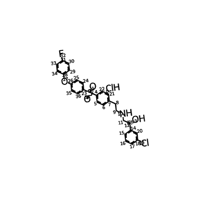 Cl.O=S(=O)(c1ccc(CCNC[C@H](O)c2cccc(Cl)c2)cc1)c1ccc(Oc2ccc(F)cc2)cc1